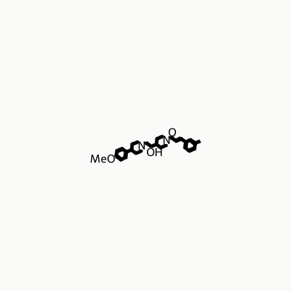 COc1ccc(C2CCN(CC(O)C3CCN(C(=O)C=Cc4cccc(C)c4)CC3)CC2)cc1